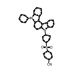 N#Cc1ccc(S(=O)(=O)c2ccc(-n3c4ccccc4c4c5c6ccccc6n(-c6ccccc6)c5ccc43)cc2)cc1